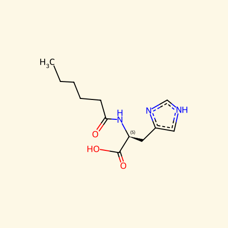 CCCCCC(=O)N[C@@H](Cc1c[nH]cn1)C(=O)O